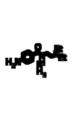 CCN(CC)CCNC(=O)c1ccc(N)cc1.N